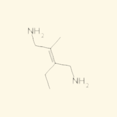 CC/C(CN)=C(/C)CN